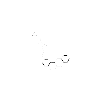 CC(N)(CCCc1ccc2c(c1)C(Cc1ccccc1Cl)C(N)CC2)[S+]([O-])CC1CC1